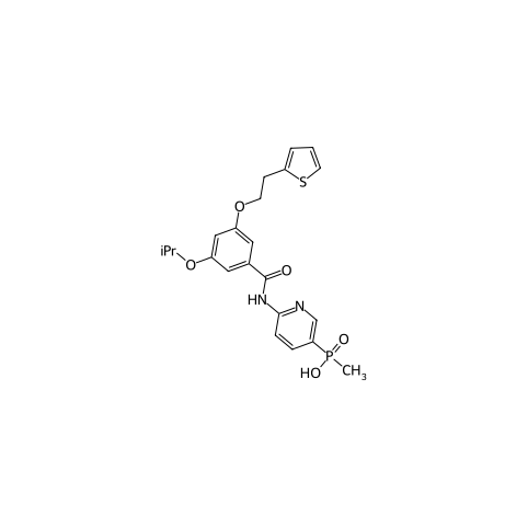 CC(C)Oc1cc(OCCc2cccs2)cc(C(=O)Nc2ccc(P(C)(=O)O)cn2)c1